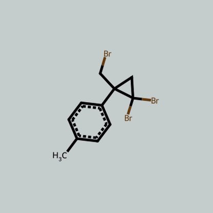 Cc1ccc(C2(CBr)CC2(Br)Br)cc1